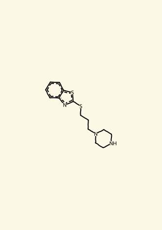 c1ccc2sc(SCCCN3CCNCC3)nc2c1